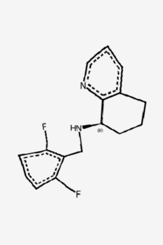 Fc1cccc(F)c1CN[C@@H]1CCCc2cccnc21